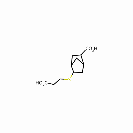 O=C(O)CCSC1CC2CC1CC2C(=O)O